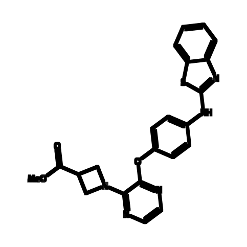 COC(=O)C1CN(c2nccnc2Oc2ccc(Nc3nc4ccccc4s3)cc2)C1